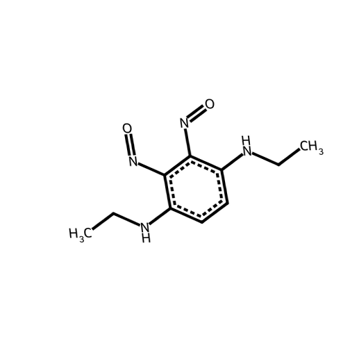 CCNc1ccc(NCC)c(N=O)c1N=O